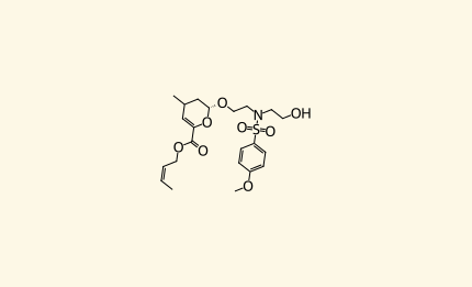 C/C=C\COC(=O)C1=CC(C)C[C@H](OCCN(CCO)S(=O)(=O)c2ccc(OC)cc2)O1